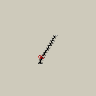 CCCCCCCCCCC/C=C/CCCCCOC(=O)CCC1CC1